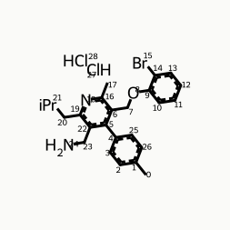 Cc1ccc(-c2c(COc3ccccc3Br)c(C)nc(CC(C)C)c2CN)cc1.Cl.Cl